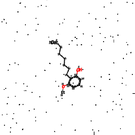 CCCCCCCCCCCCCCCCc1c(O)cccc1OCC